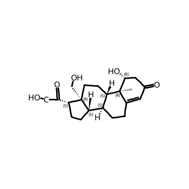 C[C@@]12C(=CC(=O)C[C@H]1O)CC[C@H]1[C@@H]3CC[C@H](C(=O)CO)[C@@]3(CO)CC[C@@H]12